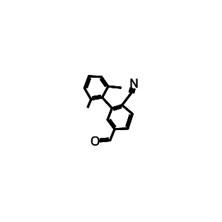 Cc1cccc(C)c1-c1cc(C=O)ccc1C#N